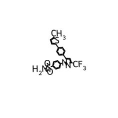 Cc1ccc(-c2ccc(-c3cc(C(F)(F)F)nn3-c3ccc(S(N)(=O)=O)cc3)cc2)s1